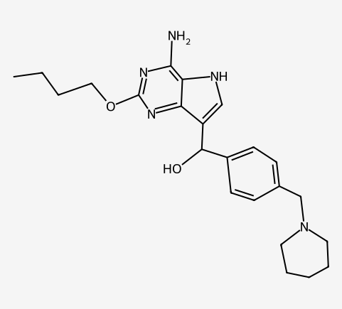 CCCCOc1nc(N)c2[nH]cc(C(O)c3ccc(CN4CCCCC4)cc3)c2n1